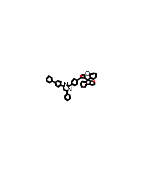 C1=CC2c3ccccc3C3(c4ccccc4Oc4ccc(-c5ccc(C6=NC(c7ccc(-c8ccccc8)cc7)CC(c7ccccc7)=N6)cc5)cc43)C2C=C1